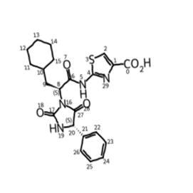 O=C(O)c1csc(NC(=O)[C@H](CC2CCCCC2)N2C(=O)N[C@@H](c3ccccc3)C2=O)n1